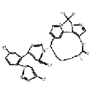 [2H]C([2H])([2H])n1ncc2c1-c1cccc(c1)[C@@H](n1cnc(-c3cc(Cl)ccc3-n3cc(Cl)nn3)cc1=O)CCC[C@@H](C)C(=O)N2